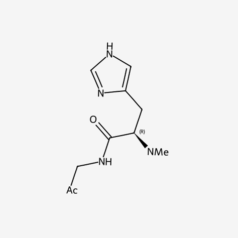 CN[C@H](Cc1c[nH]cn1)C(=O)NCC(C)=O